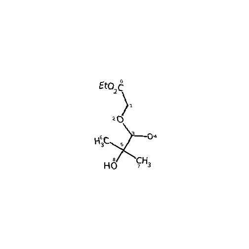 CCOC(=O)COC([O])C(C)(C)O